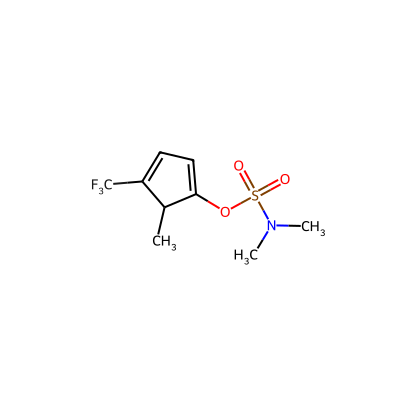 CC1C(OS(=O)(=O)N(C)C)=CC=C1C(F)(F)F